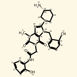 Cn1c(=O)n(CC(=O)Nc2ncccc2O)c(=O)c2c1nc(N1CCC[C@@H](N)C1)n2Cc1ccccc1C#N